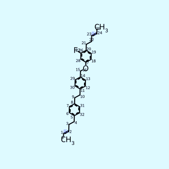 C/C=C/CCc1ccc(CCc2ccc(COc3ccc(CC/C=C/C)c(F)c3)cc2)cc1